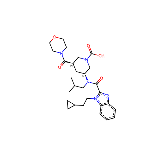 CC(C)CN(C(=O)c1nc2ccccc2n1CCC1CC1)[C@H]1C[C@@H](C(=O)N2CCOCC2)CN(C(=O)O)C1